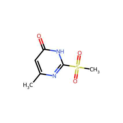 Cc1cc(=O)[nH]c(S(C)(=O)=O)n1